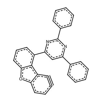 c1ccc2oc3cccc(-c4cc(-c5ccccc5)nc(-c5ccccc5)n4)c3c2c#1